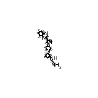 NCCNc1cccc(N2CCC(n3cc(-c4cnc5ccccc5n4)cn3)CC2)c1